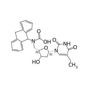 CCc1cn([C@@H]2CC(O)[C@H](CN(C(=O)O)C3c4ccccc4Cc4ccccc43)O2)c(=O)[nH]c1=O